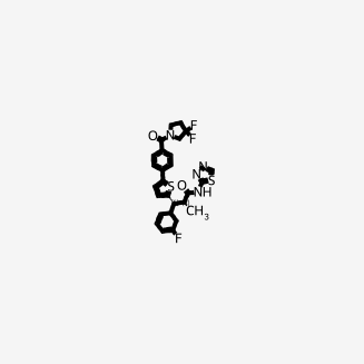 C[C@@H](C(=O)Nc1nncs1)[C@@H](c1ccc(-c2ccc(C(=O)N3CCC(F)(F)C3)cc2)s1)C1C=CC=C(F)C1